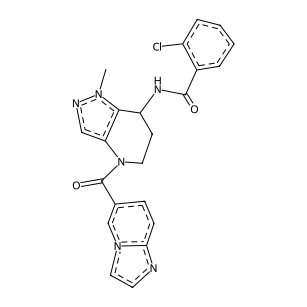 Cn1ncc2c1C(NC(=O)c1ccccc1Cl)CCN2C(=O)c1ccc2nccn2c1